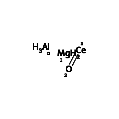 [AlH3].[MgH2].[O]=[Ce]